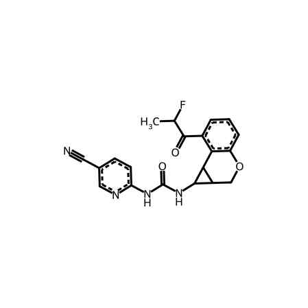 CC(F)C(=O)c1cccc2c1C1C(CO2)C1NC(=O)Nc1ccc(C#N)cn1